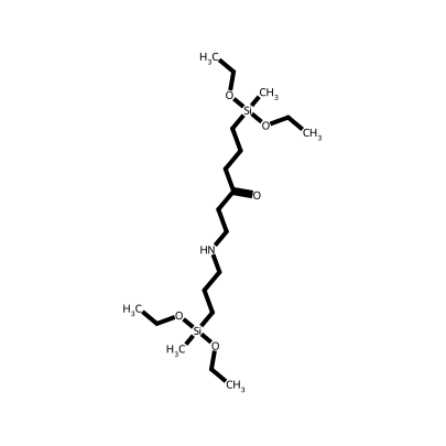 CCO[Si](C)(CCCNCCC(=O)CCC[Si](C)(OCC)OCC)OCC